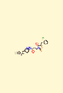 O=C(CCN1C(=O)/C(=C/c2ccccc2F)SC1=S)Nc1ccc(C(=O)O)cc1